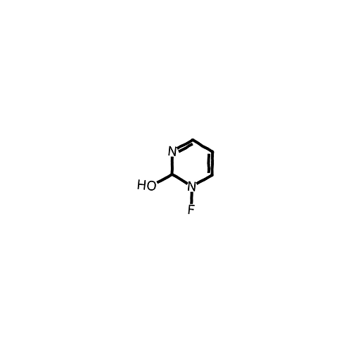 OC1N=CC=CN1F